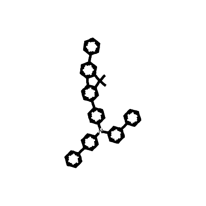 CC1(C)c2cc(-c3ccccc3)ccc2-c2ccc(-c3ccc(N(c4ccc(-c5ccccc5)cc4)c4cccc(-c5ccccc5)c4)cc3)cc21